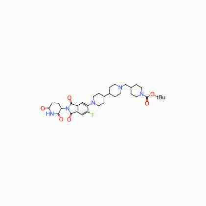 CC(C)(C)OC(=O)N1CCC(CN2CCC(C3CCN(c4cc5c(cc4F)C(=O)N(C4CCC(=O)NC4=O)C5=O)CC3)CC2)CC1